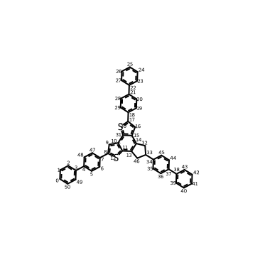 c1ccc(-c2ccc(-c3cc4c(s3)c3c(c5cc(-c6ccc(-c7ccccc7)cc6)sc54)CC(c4ccc(-c5ccccc5)cc4)C3)cc2)cc1